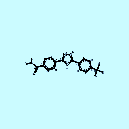 CNC(=O)c1ccc(-c2nnc(-c3ccc(C(C)(C)C)cc3)o2)cc1